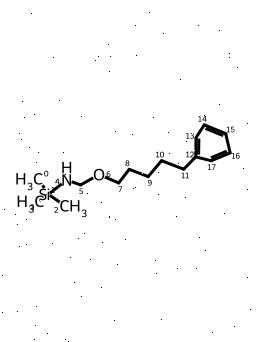 C[Si](C)(C)NCOCCCCCc1ccccc1